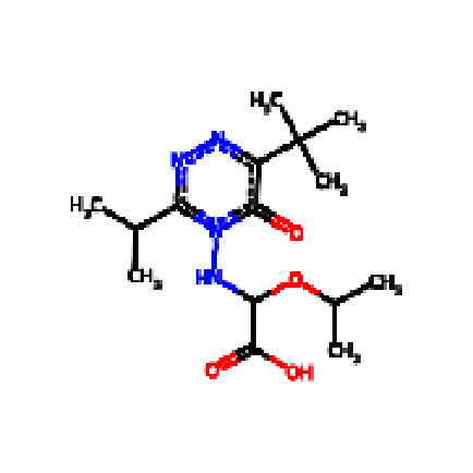 CC(C)OC(Nn1c(C(C)C)nnc(C(C)(C)C)c1=O)C(=O)O